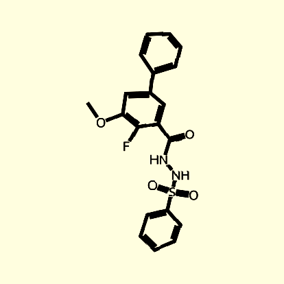 COc1cc(-c2ccccc2)cc(C(=O)NNS(=O)(=O)c2ccccc2)c1F